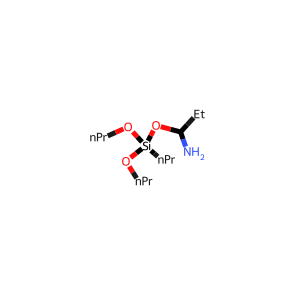 CCCO[Si](CCC)(OCCC)OC(N)CC